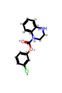 O=C(Oc1cccc(Cl)c1)N1CCNc2ccccc21